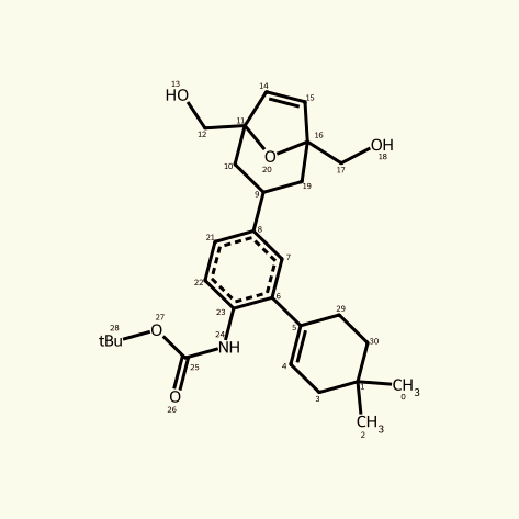 CC1(C)CC=C(c2cc(C3CC4(CO)C=CC(CO)(C3)O4)ccc2NC(=O)OC(C)(C)C)CC1